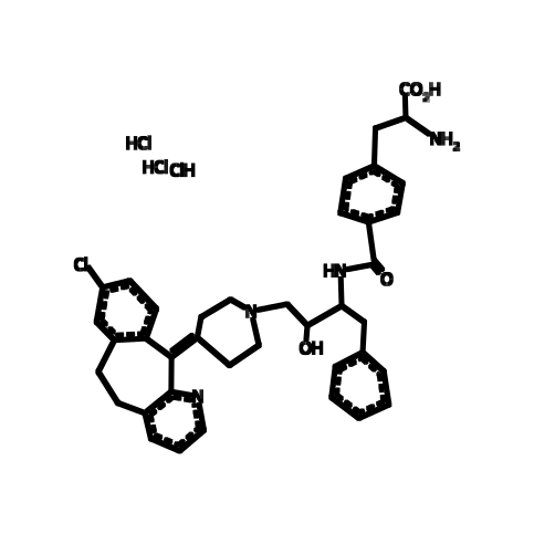 Cl.Cl.Cl.NC(Cc1ccc(C(=O)NC(Cc2ccccc2)C(O)CN2CCC(=C3c4ccc(Cl)cc4CCc4cccnc43)CC2)cc1)C(=O)O